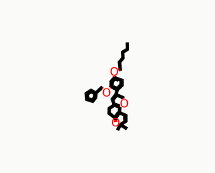 CCCCCCOc1ccc(C2=CC3=C(OC2)C2=C(CC3)OC(C)(C)C=C2)c(OCc2ccccc2)c1